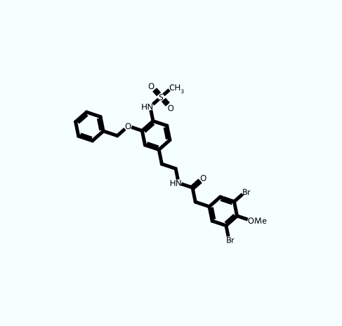 COc1c(Br)cc(CC(=O)NCCc2ccc(NS(C)(=O)=O)c(OCc3ccccc3)c2)cc1Br